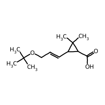 CC(C)(C)OCC=CC1C(C(=O)O)C1(C)C